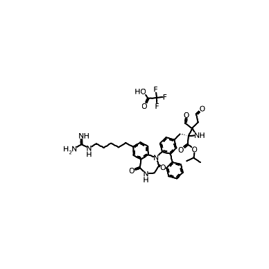 CC(C)OC(=O)[C@]1(Cc2ccc(N3C(=O)CNC(=O)c4cc(CCCCCNC(=N)N)ccc43)c(-c3ccccc3)c2)NC1(C=O)CC=O.O=C(O)C(F)(F)F